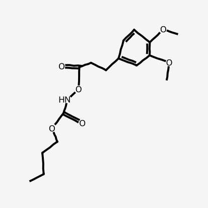 CCCCOC(=O)NOC(=O)CCc1ccc(OC)c(OC)c1